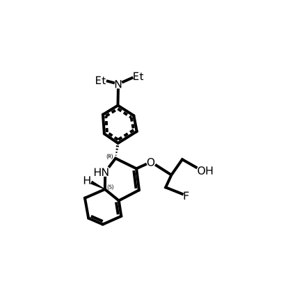 CCN(CC)c1ccc([C@H]2N[C@H]3CC=CC=C3C=C2OC(CO)CF)cc1